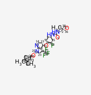 CC1(CNC(=O)Nc2ccc(Oc3ccnc4c3c(C(F)(F)F)cn4COCC[Si](C)(C)C)c(F)c2)COC1